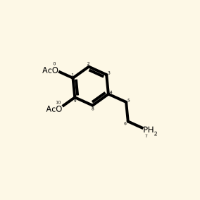 CC(=O)Oc1ccc(CCP)cc1OC(C)=O